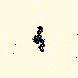 CC1(C)c2ccccc2-c2ccc(-c3cccc(N(c4ccc(-c5ccc6c(c5)oc5ccccc56)cc4)c4cccc5c4-c4ccccc4C5(C)C)c3)cc21